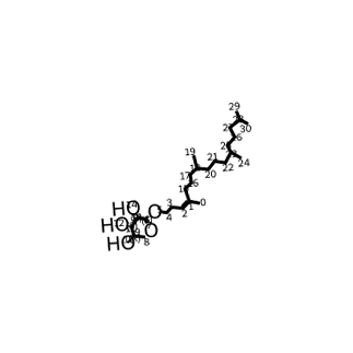 CC(=CCCO[C@H]1OC[C@@H](O)[C@H](O)[C@H]1O)CCCC(C)CCCC(C)CCCC(C)C